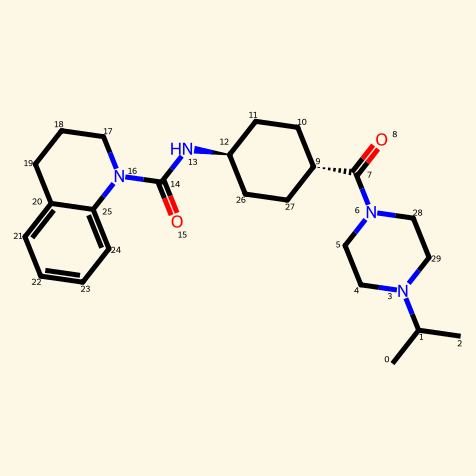 CC(C)N1CCN(C(=O)[C@H]2CC[C@H](NC(=O)N3CCCc4ccccc43)CC2)CC1